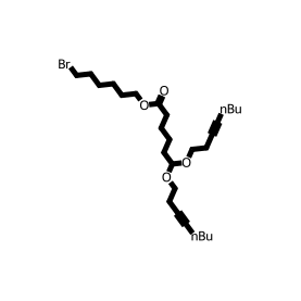 CCCCC#CCCOC(CCCCC(=O)OCCCCCCBr)OCCC#CCCCC